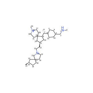 CNCC1CCC([C@@H](C)C2C[C@@H](CCN3CCC4(CC[C@@H](C)C4)C3)CC23CCN(C)CC3)CC1